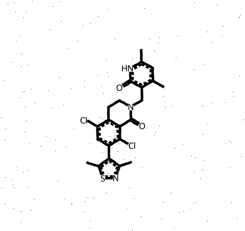 Cc1cc(C)c(CN2CCc3c(Cl)cc(-c4c(C)nsc4C)c(Cl)c3C2=O)c(=O)[nH]1